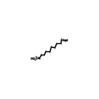 CCCCCCCCCCCCCCCSC(=O)O